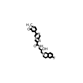 Cn1ccc(-c2cn3cc(C(=O)NC[C@H](O)CN4CCc5cc(F)ccc5C4)nc3cn2)cc1=O